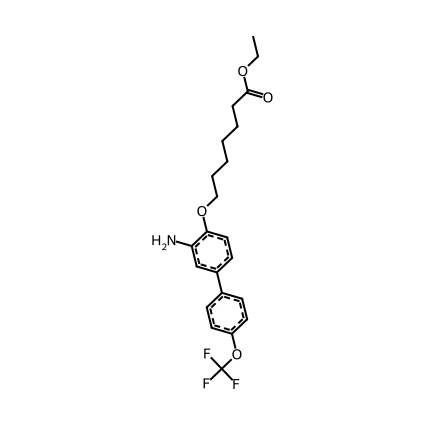 CCOC(=O)CCCCCCOc1ccc(-c2ccc(OC(F)(F)F)cc2)cc1N